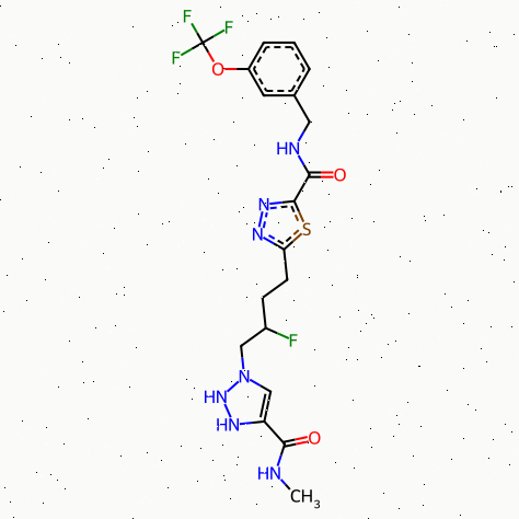 CNC(=O)C1=CN(CC(F)CCc2nnc(C(=O)NCc3cccc(OC(F)(F)F)c3)s2)NN1